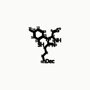 CCCCCCCCCCCCCC1=NNC(C=S)N1c1ccc(C)cc1S